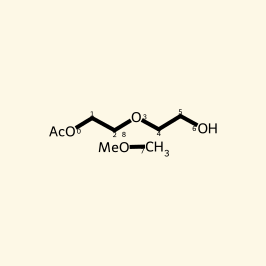 CC(=O)OCCOCCO.COC